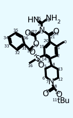 Cc1cc(C2CCN(C(=O)OC(C)(C)C)CC2)c(S(C)(=O)=O)cc1C(=O)N(C(=N)N)C(=O)OCc1ccccc1